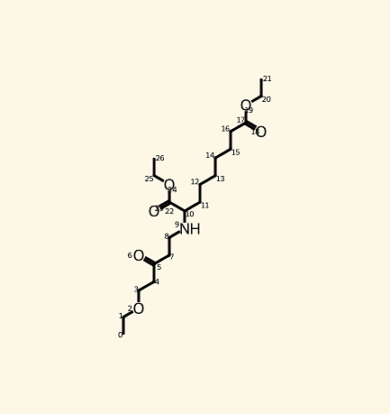 CCOCCC(=O)CCNC(CCCCCCC(=O)OCC)C(=O)OCC